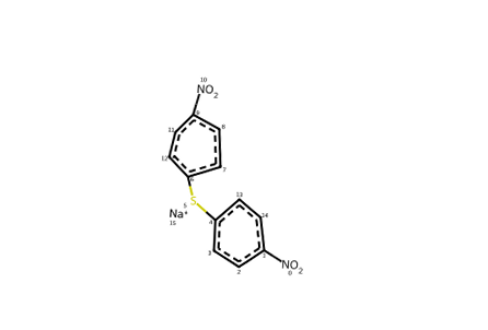 O=[N+]([O-])c1ccc(Sc2ccc([N+](=O)[O-])cc2)cc1.[Na+]